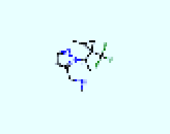 CNCc1ccnn1[C@H](C)C1(C(F)(F)F)CC1C